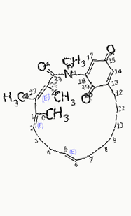 CC1=C\CC/C=C/CCCCCCC2=CC(=O)C=C(C2=O)N(C)C(=O)\C(C)=C\1C